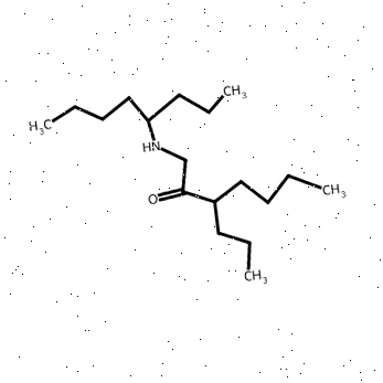 CCCCC(CCC)NCC(=O)C(CCC)CCCC